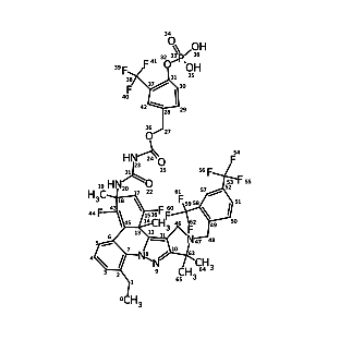 CCc1cccc2c1-n1nc3c(c1C1(C)C(F)=CC(C)(NC(=O)NC(=O)OCc4ccc(OP(=O)(O)O)c(C(F)(F)F)c4)C(F)=C21)CN(Cc1ccc(C(F)(F)F)cc1C(F)(F)F)C3(C)C